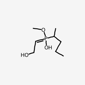 CCCC(C)P(O)(=CCO)OC